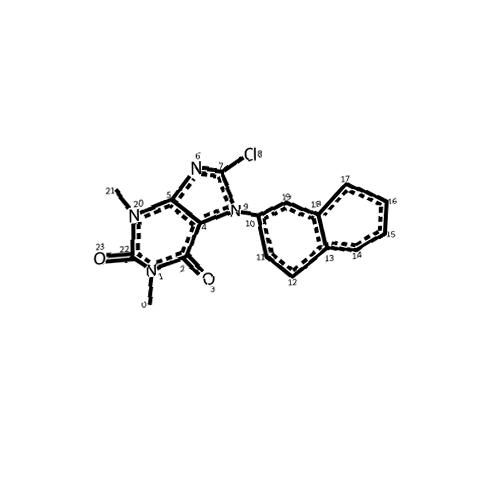 Cn1c(=O)c2c(nc(Cl)n2-c2ccc3ccccc3c2)n(C)c1=O